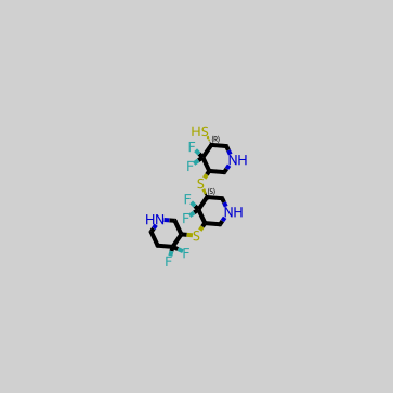 FC1(F)CCNCC1SC1CNC[C@H](SC2CNC[C@@H](S)C2(F)F)C1(F)F